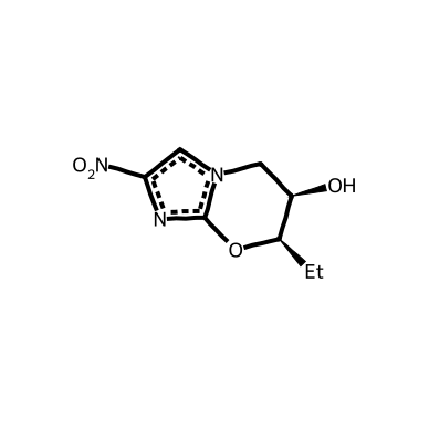 CC[C@H]1Oc2nc([N+](=O)[O-])cn2C[C@H]1O